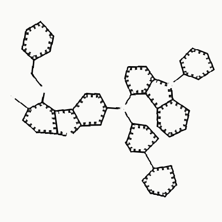 Nc1ccc2oc3cc(N(c4ccc(-c5ccccc5)cc4)c4cccc5c4c4ccccc4n5-c4ccccc4)ccc3c2c1OCc1ccccc1